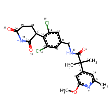 COc1cc(C(C)(C)C(=O)NCc2cc(Cl)c(C3CCC(=O)NC3=O)c(Cl)c2)cc(C)n1